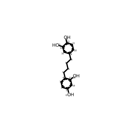 Oc1ccc(CCCCc2ccc(O)c(O)c2)c(O)c1